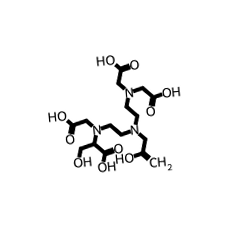 C=C(O)CN(CCN(CC(=O)O)CC(=O)O)CCN(CC(=O)O)C(CO)C(=O)O